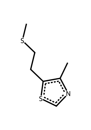 CSCCc1scnc1C